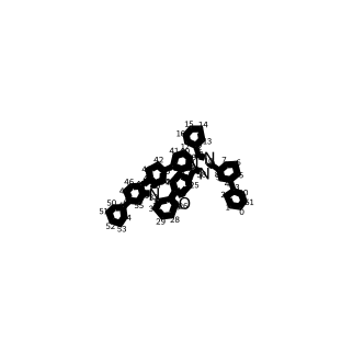 c1ccc(-c2cccc(-c3nc(-c4ccccc4)nc(-c4ccc5c(c4)oc4cccc(-n6c7cc(-c8ccccc8)ccc7c7ccc(-c8ccccc8)cc76)c45)n3)c2)cc1